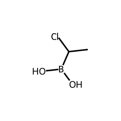 CC(Cl)B(O)O